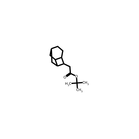 CC(C)(C)OC(=O)CC1C2CCC3CC2C1C3